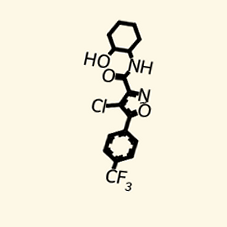 O=C(NC1CCCCC1O)c1noc(-c2ccc(C(F)(F)F)cc2)c1Cl